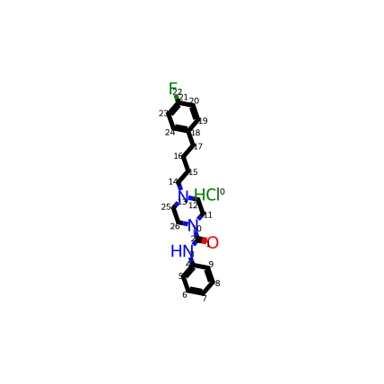 Cl.O=C(Nc1ccccc1)N1CCN(CCCCc2ccc(F)cc2)CC1